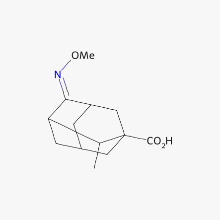 CON=C1C2CC3CC1C(C)C(C(=O)O)(C3)C2